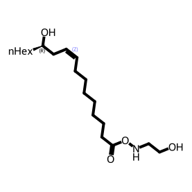 CCCCCC[C@@H](O)C/C=C\CCCCCCCC(=O)ONCCO